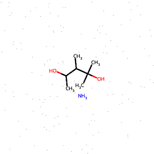 CC(O)C(C)C(C)(C)O.N